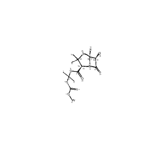 CC(C)OC(=O)OC(C)(C)OC(=O)[C@@H]1N2C(=O)[C@H](Cl)[C@H]2SC1(C)C